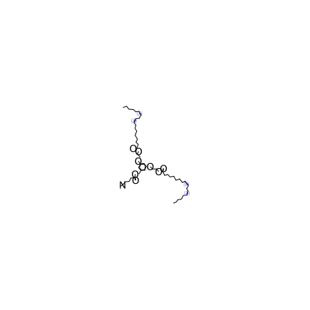 CCCCC/C=C\C/C=C\CCCCCCCC(=O)OCCOc1cc(COC(=O)CCCN(C)C)cc(OCCOC(=O)CCCCCCC/C=C\C/C=C\CCCCC)c1